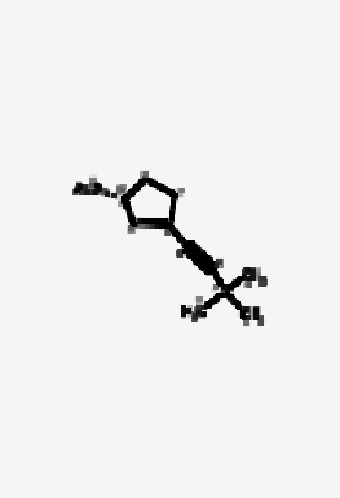 CC(=O)O[C@H]1C=C(C#CS(C)(C)C)CC1